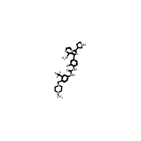 CN1CCN(Cc2ccc(NC(=O)Nc3ccc(-c4nc(C5CCNC5)n5ccnc(N)c45)cc3F)cc2C(F)(F)F)CC1